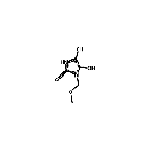 COCn1c(O)c(O)[nH]c1=O